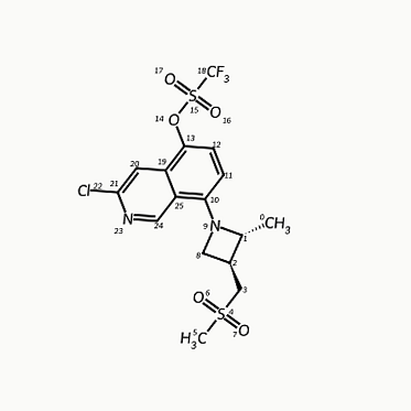 C[C@@H]1[C@@H](CS(C)(=O)=O)CN1c1ccc(OS(=O)(=O)C(F)(F)F)c2cc(Cl)ncc12